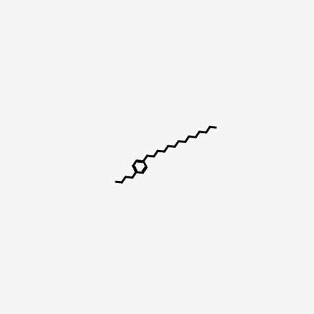 CCCCCCCCCCCCCCc1ccc(CCCC)cc1